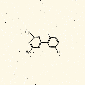 Cc1nc(N)nc(-c2cc(Cl)cnc2F)n1